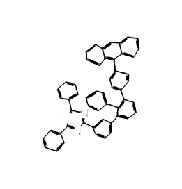 c1ccc(-c2nc(-c3ccccc3)nc(-c3cccc(-c4cccc(-c5ccc(-c6c7ccccc7cc7ccccc67)cc5)c4-c4ccccc4)c3)n2)cc1